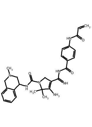 C=CC(=O)Nc1ccc(C(=O)NC(=N)C2=C(N)C(C)(C)N(C(=O)NC3CN(C)Cc4ccccc43)C2)cc1